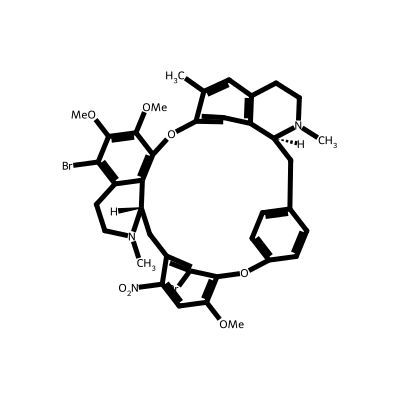 COc1cc([N+](=O)[O-])c2c(Br)c1Oc1ccc(cc1)C[C@H]1c3cc(c(C)cc3CCN1C)Oc1c(OC)c(OC)c(Br)c3c1[C@H](C2)N(C)CC3